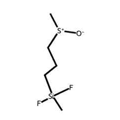 C[S+]([O-])CCC[Si](C)(F)F